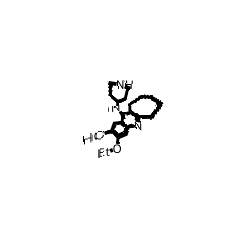 CCOc1cc2nc3c(c(NC4CCNCC4)c2cc1O)CCCCC3